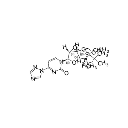 CC[C@]12O[C@@H](n3ccc(-n4cncn4)nc3=O)[C@H](O[C@H]1COC)[C@@H]2O[Si](C)(C)C(C)(C)C